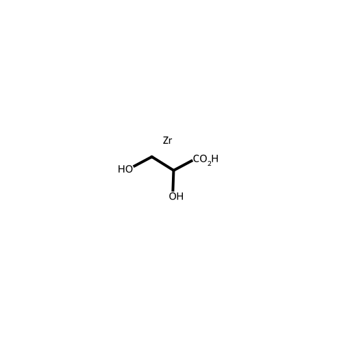 O=C(O)C(O)CO.[Zr]